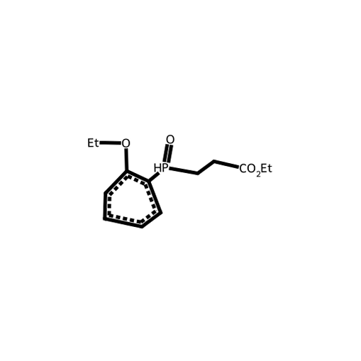 CCOC(=O)CC[PH](=O)c1ccccc1OCC